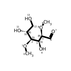 CO[C@H]([C@H](O)[C@H](C=O)OC)[C@H](O)CO